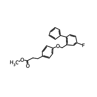 COC(=O)CCc1ccc(OCc2cc(F)ccc2-c2ccccc2)cc1